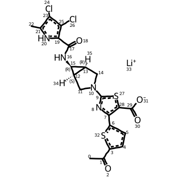 CC(=O)c1ccc(-c2nc(N3C[C@@H]4[C@H](C3)[C@@H]4NC(=O)c3[nH]c(C)c(Cl)c3Cl)sc2C(=O)[O-])s1.[Li+]